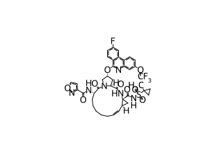 CC1(S(=O)(=O)NC(=O)[C@@]23C[C@H]2/C=C\CCCCC[C@H](NC(=O)c2ccon2)C(=O)N2C[C@H](Oc4nc5cc(OC(F)(F)F)ccc5c5cc(F)ccc45)C[C@H]2C(=O)N3)CC1